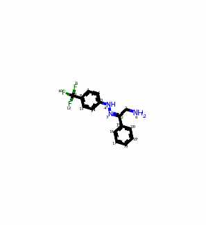 NCC(=NNc1ccc(C(F)(F)F)cc1)c1ccccc1